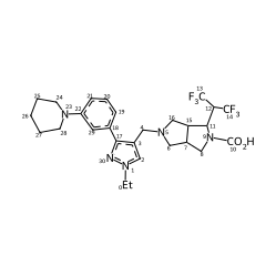 CCn1cc(CN2CC3CN(C(=O)O)C(C(C(F)(F)F)C(F)(F)F)C3C2)c(-c2cccc(N3CCCCC3)c2)n1